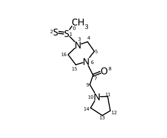 CS(=S)N1CCN(C(=O)CN2CCCC2)CC1